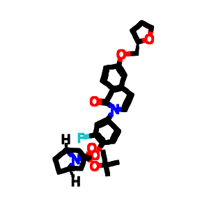 CC(C)(C)OC(=O)N1[C@@H]2CC[C@H]1C[C@H](Oc1ccc(-n3ccc4cc(OC[C@H]5CCCO5)ccc4c3=O)cc1F)C2